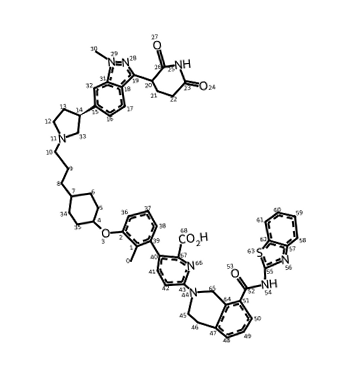 Cc1c(OC2CCC(CCCN3CC[C@@H](c4ccc5c(C6CCC(=O)NC6=O)nn(C)c5c4)C3)CC2)cccc1-c1ccc(N2CCc3cccc(C(=O)Nc4nc5ccccc5s4)c3C2)nc1C(=O)O